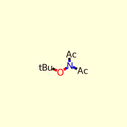 CC(=O)N(OC(C)(C)C)C(C)=O